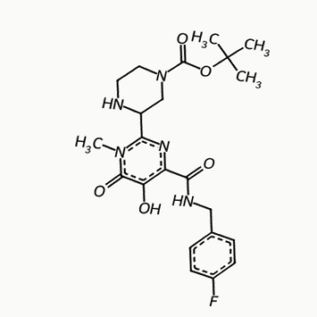 Cn1c(C2CN(C(=O)OC(C)(C)C)CCN2)nc(C(=O)NCc2ccc(F)cc2)c(O)c1=O